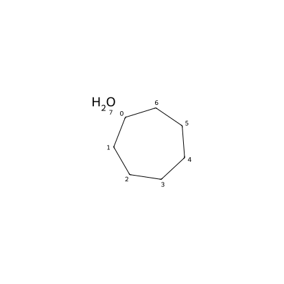 C1CCCCCC1.O